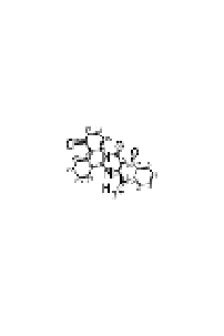 Cn1c2ccccc2c(=O)c2c(=O)n(-c3cccc(Cl)c3)c(C3CCCCC3)nc21